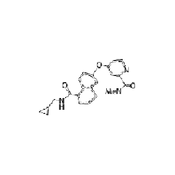 CNC(=O)c1cc(Oc2ccc3c(C(=O)NCC4CC4)cccc3c2)ccn1